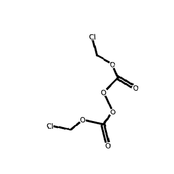 O=C(OCCl)OOC(=O)OCCl